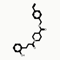 C=Cc1ccc(COC(=O)C2CCN(C(=O)CCc3ccccc3O)CC2)cc1